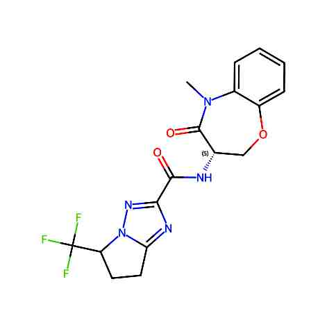 CN1C(=O)[C@@H](NC(=O)c2nc3n(n2)C(C(F)(F)F)CC3)COc2ccccc21